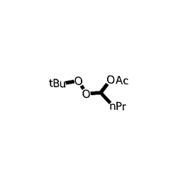 CCCC(OOC(C)(C)C)OC(C)=O